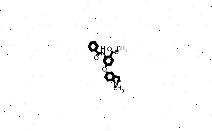 COC(=O)c1ccc(Oc2ccc3c(ccn3C)c2)cc1NC(=O)c1ccccc1